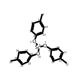 Cc1ccc([O][Sc]([O]c2ccc(C)cc2)[O]c2ccc(C)cc2)cc1